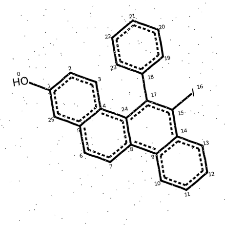 Oc1ccc2c(ccc3c4ccccc4c(I)c(-c4ccccc4)c23)c1